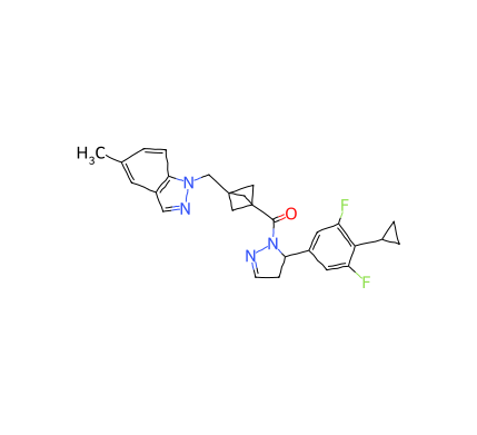 Cc1ccc2c(cnn2CC23CC(C(=O)N4N=CCC4c4cc(F)c(C5CC5)c(F)c4)(C2)C3)c1